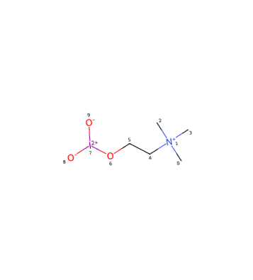 C[N+](C)(C)CCO[I+2]([O-])[O-]